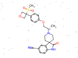 C[C@@H](COc1ccc(C2(S(C)(=O)=O)COC2)cc1)N1CCC2(CC1)C(=O)Nc1ccc(C#N)cc12